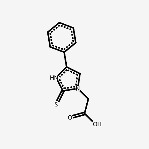 O=C(O)Cn1cc(-c2ccccc2)[nH]c1=S